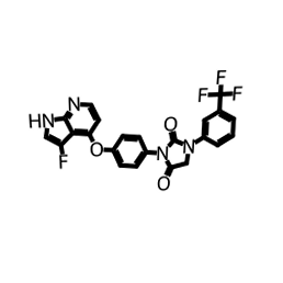 O=C1CN(c2cccc(C(F)(F)F)c2)C(=O)N1c1ccc(Oc2ccnc3[nH]cc(F)c23)cc1